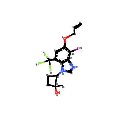 C=CCOc1cc(C(F)(F)F)c2c(ncn2C2CCC2(C)O)c1I